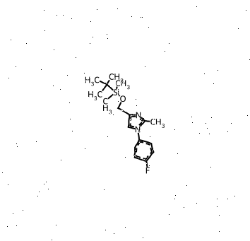 Cc1nc(CO[Si](C)(C)C(C)(C)C)cn1-c1ccc(F)cc1